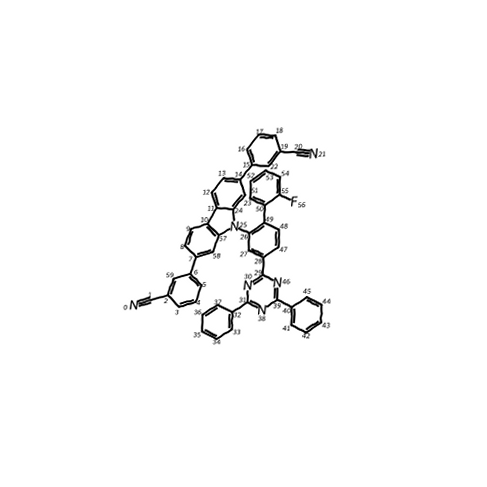 N#Cc1cccc(-c2ccc3c4ccc(-c5cccc(C#N)c5)cc4n(-c4cc(-c5nc(-c6ccccc6)nc(-c6ccccc6)n5)ccc4-c4ccccc4F)c3c2)c1